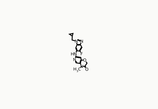 CN1C(=O)COc2cc(Nc3cc4c(cc3F)ncn4CC3CC3)ncc21